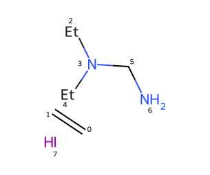 C=C.CCN(CC)CN.I